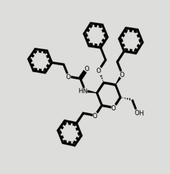 O=C(N[C@@H]1C(OCc2ccccc2)O[C@@H](CO)[C@H](OCc2ccccc2)[C@H]1OCc1ccccc1)OCc1ccccc1